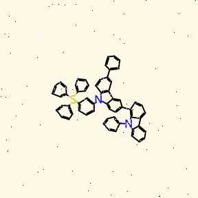 c1ccc(-c2ccc3c(c2)c2cc(-c4cccc5c6ccccc6n(-c6ccccc6)c45)ccc2n3-c2cccc(S(c3ccccc3)(c3ccccc3)c3ccccc3)c2)cc1